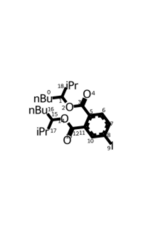 CCCCC(OC(=O)c1ccc(I)cc1C(=O)OC(CCCC)C(C)C)C(C)C